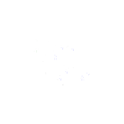 C[C@H](Oc1cc(-c2cn[nH]c2)cc2ncnc(Nc3ccc(F)c(Cl)c3F)c12)c1ncccn1